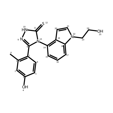 Cc1cc(O)ccc1-c1n[nH]c(=S)n1-c1cccc2c1ccn2CCO